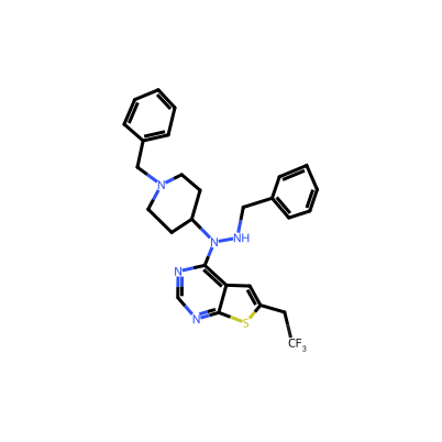 FC(F)(F)Cc1cc2c(N(NCc3ccccc3)C3CCN(Cc4ccccc4)CC3)ncnc2s1